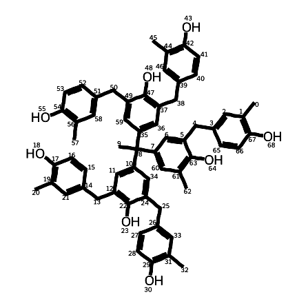 Cc1cc(Cc2cc(C(C)(c3cc(Cc4ccc(O)c(C)c4)c(O)c(Cc4ccc(O)c(C)c4)c3)c3cc(Cc4ccc(O)c(C)c4)c(O)c(Cc4ccc(O)c(C)c4)c3)cc(C)c2O)ccc1O